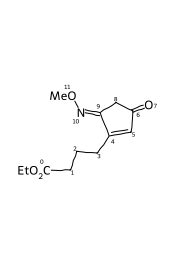 CCOC(=O)CCCC1=CC(=O)CC1=NOC